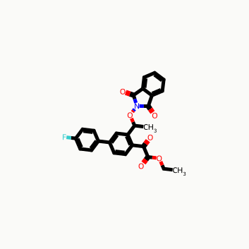 CCOC(=O)C(=O)c1ccc(-c2ccc(F)cc2)cc1C(C)ON1C(=O)c2ccccc2C1=O